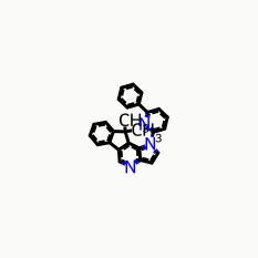 CC1(C)c2ccccc2-c2cnc3ccn(-c4cccc(-c5ccccc5)n4)c3c21